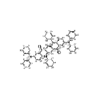 O=c1c2cc(N(c3ccccc3)c3ccccc3)ccc2n(C2C=CCCC2)c2cc3c(=O)c4cc(N(c5ccccc5)c5ccccc5)ccc4n(C4C=CCCC4)c3cc12